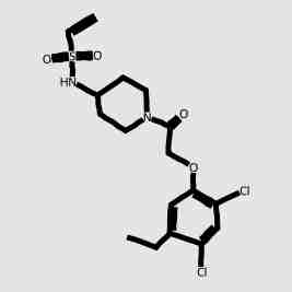 C=CS(=O)(=O)NC1CCN(C(=O)COc2cc(CC)c(Cl)cc2Cl)CC1